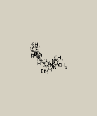 CCC=CCc1nc2c(C)cc(C)nc2n1-c1ccc(CCNC(=O)NS(=O)(=O)c2ccc(C)cc2)cc1